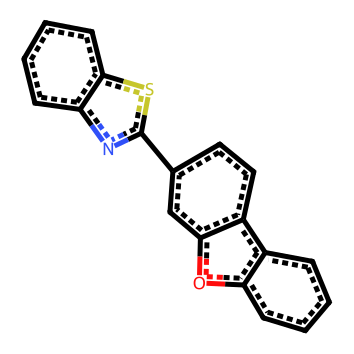 c1ccc2sc(-c3ccc4c(c3)oc3ccccc34)nc2c1